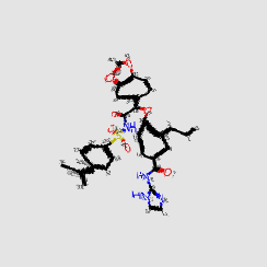 CCCc1cc(C(=O)Nc2ncc[nH]2)ccc1OC(C(=O)NS(=O)(=O)c1ccc(C(C)C)cc1)c1ccc2c(c1)OCO2